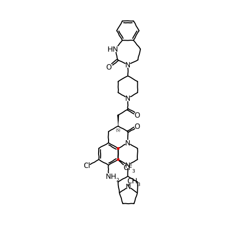 CN1C2CCC1CC(N1CCN(C(=O)[C@H](CC(=O)N3CCC(N4CCc5ccccc5NC4=O)CC3)Cc3cc(Cl)c(N)c(C(F)(F)F)c3)CC1)C2